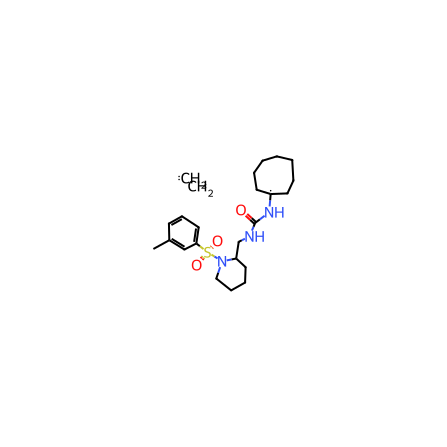 Cc1cccc(S(=O)(=O)N2CCCCC2CNC(=O)N[C]2CCCCCCC2)c1.[CH2].[CH2]